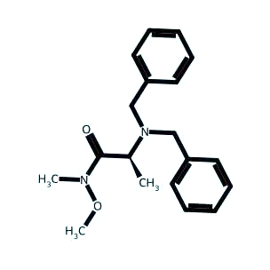 CON(C)C(=O)[C@H](C)N(Cc1ccccc1)Cc1ccccc1